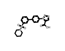 O=C(O)c1cnnn1-c1ccc(-c2cccc(S(=O)(=O)N3CCCCC3)c2)cc1